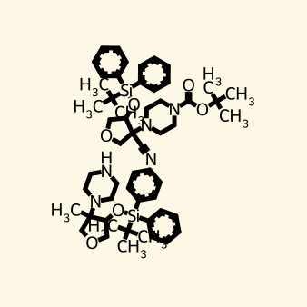 CC(C)(C)OC(=O)N1CCN(C2(C#N)COCC2O[Si](c2ccccc2)(c2ccccc2)C(C)(C)C)CC1.CC1(N2CCNCC2)COCC1O[Si](c1ccccc1)(c1ccccc1)C(C)(C)C